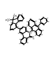 CC1(C)c2ccccc2-c2c(-c3ccc4c(c3)c3ccccc3c(=O)n4-c3c4ccccc4c(-c4ccccc4)c4ccccc34)cccc21